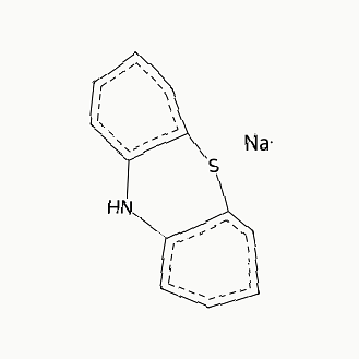 [Na].c1ccc2c(c1)Nc1ccccc1S2